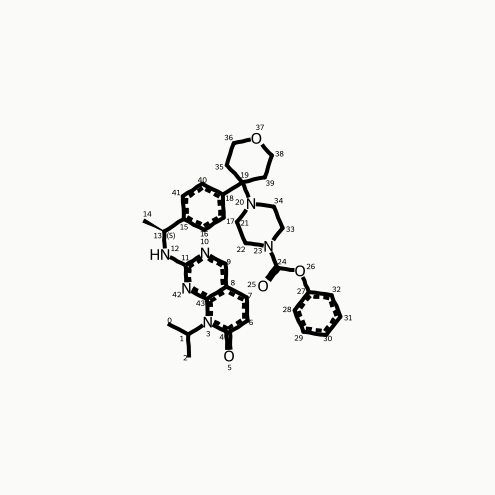 CC(C)n1c(=O)ccc2cnc(N[C@@H](C)c3ccc(C4(N5CCN(C(=O)Oc6ccccc6)CC5)CCOCC4)cc3)nc21